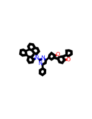 c1ccc(-c2cc(-c3ccc4oc5c(ccc6oc7ccccc7c65)c4c3)nc(-n3c4cccc5c4c4c6c(cccc6ccc43)-c3ccccc3-5)n2)cc1